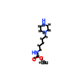 CC(C)(C)OC(=O)NCCCCCN1CCNCC1